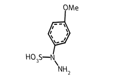 COc1ccc(N(N)S(=O)(=O)O)cc1